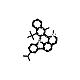 Cc1c2ccccc2c(C(C)(C)C)c2c1c1c3c(ccc4c5cc(C(C)C)ccc5n2c43)cc[n+]1C